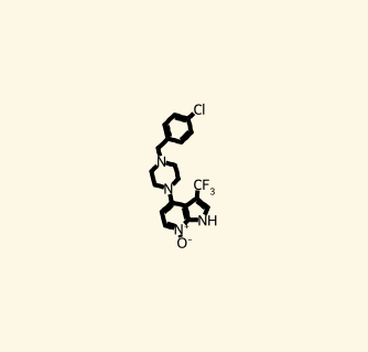 [O-][n+]1ccc(N2CCN(Cc3ccc(Cl)cc3)CC2)c2c(C(F)(F)F)c[nH]c21